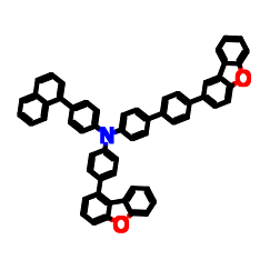 c1ccc2c(-c3ccc(N(c4ccc(-c5ccc(-c6ccc7oc8ccccc8c7c6)cc5)cc4)c4ccc(-c5cccc6oc7ccccc7c56)cc4)cc3)cccc2c1